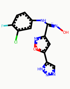 O/N=C(/Nc1ccc(F)c(Cl)c1)c1cc(-c2cnn[nH]2)on1